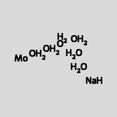 O.O.O.O.O.O.[Mo].[NaH]